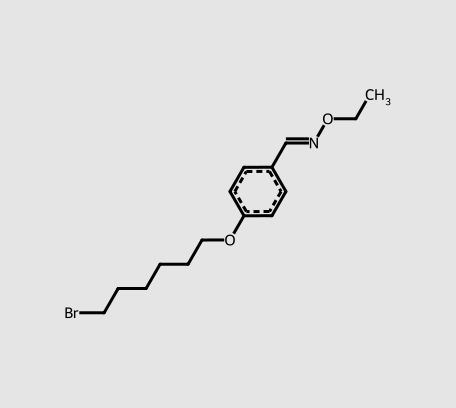 CCO/N=C/c1ccc(OCCCCCCBr)cc1